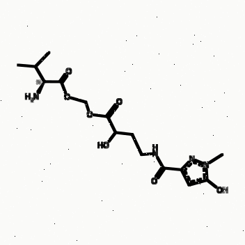 CC(C)[C@H](N)C(=O)OCOC(=O)C(O)CCNC(=O)c1cc(O)n(C)n1